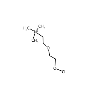 C[N+](C)(C)CCOCCOCl